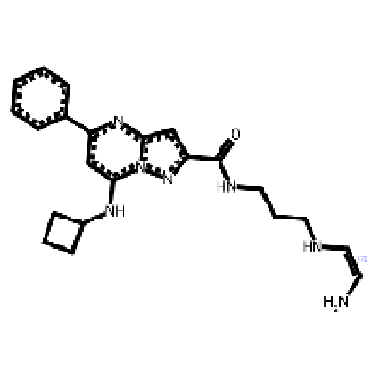 N/C=C\NCCCNC(=O)c1cc2nc(-c3ccccc3)cc(NC3CCC3)n2n1